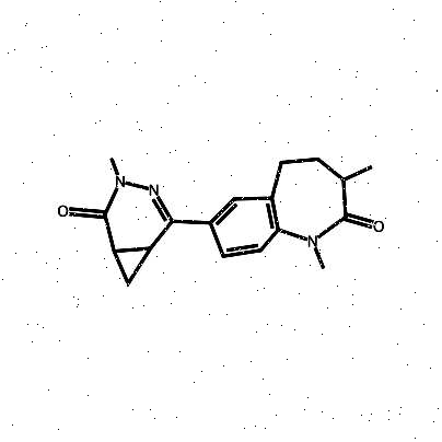 CC1CCc2cc(C3=NN(C)C(=O)C4CC34)ccc2N(C)C1=O